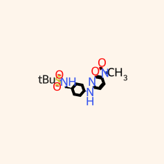 Cn1c(=O)oc2nc(N[C@H]3CC[C@H](CNS(=O)(=O)C(C)(C)C)CC3)ccc21